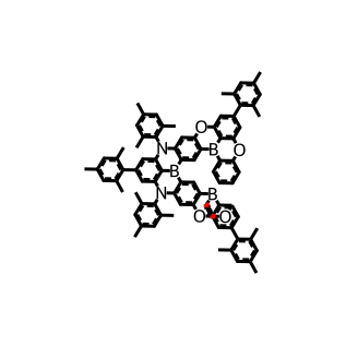 Cc1cc(C)c(-c2cc3c4c(c2)Oc2cc5c(cc2B4c2ccccc2O3)B2c3cc4c(cc3N(c3c(C)cc(C)cc3C)c3cc(-c6c(C)cc(C)cc6C)cc(c32)N5c2c(C)cc(C)cc2C)Oc2cc(-c3c(C)cc(C)cc3C)cc3c2B4c2ccccc2O3)c(C)c1